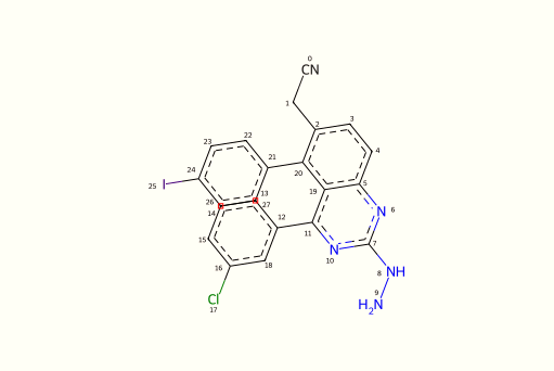 N#CCc1ccc2nc(NN)nc(-c3cccc(Cl)c3)c2c1-c1ccc(I)cc1